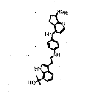 CNC1CCc2c(Nc3ccc(NCCc4c[nH]c5c(C(C)(C)O)cccc45)cc3)ccnc21